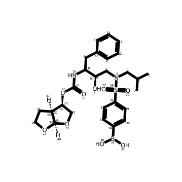 CC(C)CN(C[C@@H](O)C(Cc1ccccc1)NC(=O)O[C@H]1CO[C@H]2OCC[C@H]21)S(=O)(=O)c1ccc(B(O)O)cc1